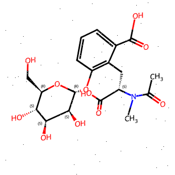 CC(=O)N(C)[C@@H](Cc1c(O[C@H]2O[C@H](CO)[C@@H](O)[C@H](O)[C@@H]2O)cccc1C(=O)O)C(=O)O